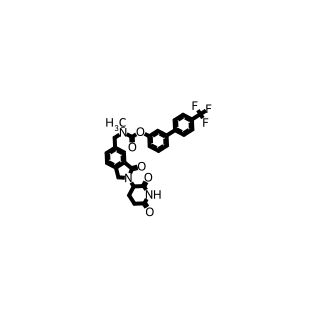 CN(Cc1ccc2c(c1)C(=O)N(C1CCC(=O)NC1=O)C2)C(=O)Oc1cccc(-c2ccc(C(F)(F)F)cc2)c1